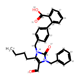 CCCCc1c(C=O)n(Cc2ccccc2)c(=O)n1Cc1ccc(-c2ccccc2C(=O)O)cc1